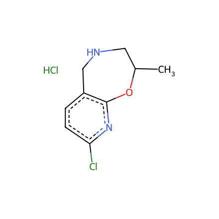 CC1CNCc2ccc(Cl)nc2O1.Cl